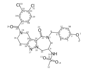 COc1ccc(CN2CC(NS(C)(=O)=O)Cn3nc4c(c3C2=O)CN(C(=O)c2ccc(Cl)c(Cl)c2)CC4)cc1